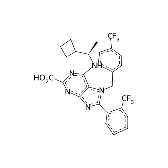 C[C@@H](Nc1nc(C(=O)O)nc2nc(-c3ccccc3C(F)(F)F)n(Cc3ccc(C(F)(F)F)cc3)c12)C1CCC1